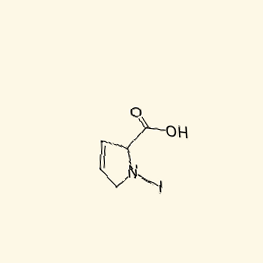 O=C(O)C1C=CCN1I